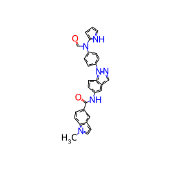 Cn1ccc2cc(C(=O)Nc3ccc4c(cnn4-c4ccc(N(C=O)c5ccc[nH]5)cc4)c3)ccc21